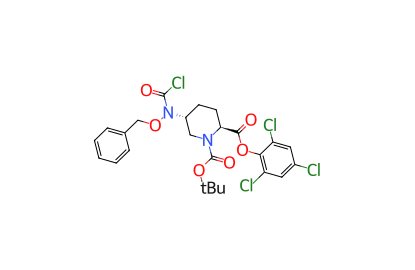 CC(C)(C)OC(=O)N1C[C@H](N(OCc2ccccc2)C(=O)Cl)CC[C@H]1C(=O)Oc1c(Cl)cc(Cl)cc1Cl